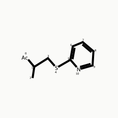 CC(=O)C(C)CSc1ccccn1